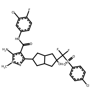 Cn1nc(C2CC3CC(O)(C(F)(F)S(=O)(=O)c4ccc(Cl)cc4)CC3C2)c(C(=O)Nc2ccc(F)c(Cl)c2)c1N